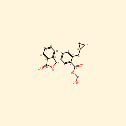 O=C(OCO)c1ccccc1CC1CC1.O=C1OCc2ccccc21